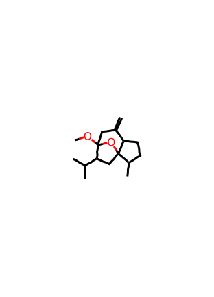 C=C1CC2(OC)OC3(CC2C(C)C)C(C)CCC13